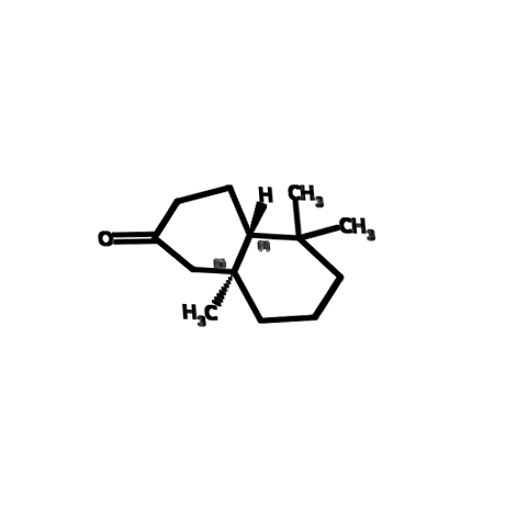 CC1(C)CCC[C@@]2(C)CC(=O)CC[C@H]12